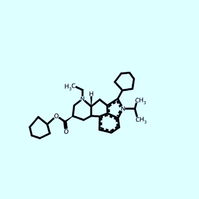 CCN1C[C@H](C(=O)OC2CCCCC2)CC2c3cccc4c3c(c(C3CCCCC3)n4C(C)C)C[C@H]21